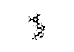 C[C@H](NC(=O)c1cc(C(F)F)cc(C(F)F)c1)c1ncnn1-c1cc(C(=O)N(C)C)ncn1